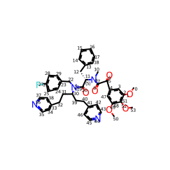 COc1cc(C(=O)C(=O)N(C)[C@@H](Cc2ccccc2)C(=O)N(Cc2ccc(F)cc2)C(CCc2ccncc2)CCc2ccncc2)cc(OC)c1OC